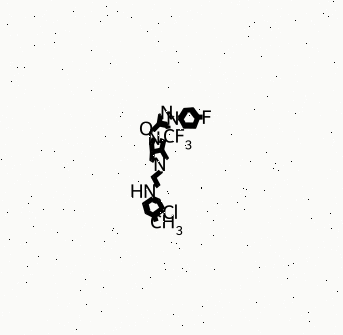 Cc1ccc(NCCCN2CC3CN(C(=O)c4cnn(-c5ccc(F)cc5)c4C(F)(F)F)CC3C2)cc1Cl